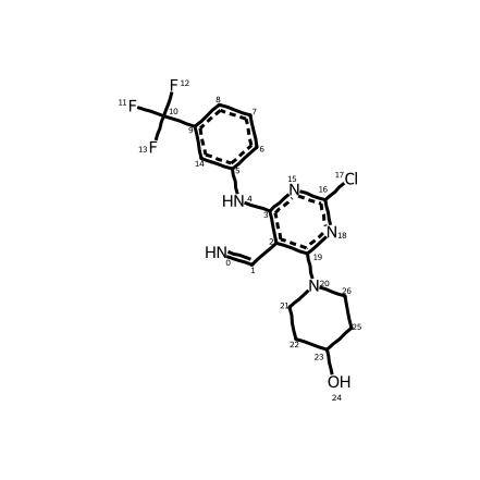 N=Cc1c(Nc2cccc(C(F)(F)F)c2)nc(Cl)nc1N1CCC(O)CC1